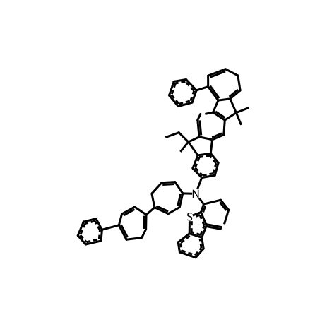 C=c1/c(=C(\C=C/C)N(C2=CC=C(C3=CCC=C(c4ccccc4)C=C3)CC=C2)c2ccc3c(c2)C(C)(CC)C(=C/C)/C3=C\C2=C(C)C3=C(c4ccccc4)C=CCC=C3C2(C)C)sc2ccccc12